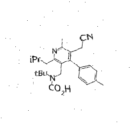 Cc1ccc(-c2c(CC#N)c(C)nc(CC(C)C)c2CN(C(=O)O)C(C)(C)C)cc1